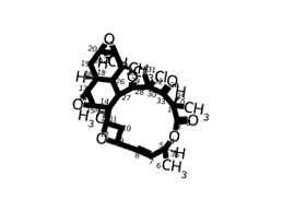 C[C@@H]1C(=O)O[C@@H](C)/C=C/C2CC(C)(O2)[C@@H]2C3OC3[C@@H]3C[C@@]4(C)O[C@H]4[C@@H](C)C3C2C(=O)C(Cl)(Cl)C1=O